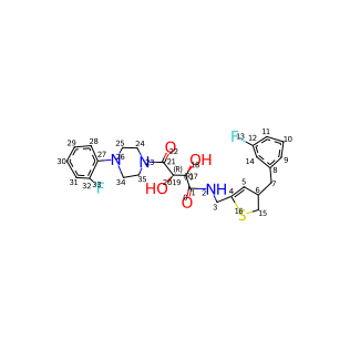 O=C(NCC1=CC(Cc2cccc(F)c2)CS1)[C@H](O)[C@@H](O)C(=O)N1CCN(c2ccccc2F)CC1